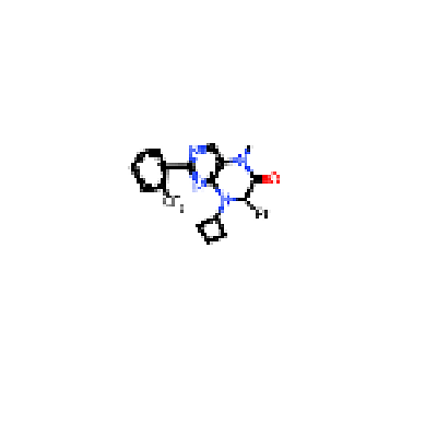 CC[C@@H]1C(=O)N(C)c2cnc(-c3ccccc3C(F)(F)F)nc2N1C1CCC1